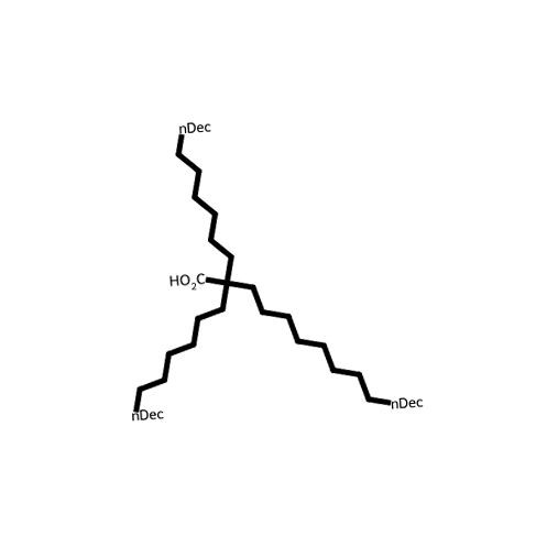 CCCCCCCCCCCCCCCCCCC(CCCCCCCCCCCCCCCC)(CCCCCCCCCCCCCCCC)C(=O)O